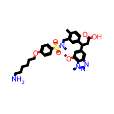 COc1cc(C(CC(=O)O)c2ccc(C)c(CN(C)S(=O)(=O)c3ccc(OCCCCCCN)cc3)c2)cc2nnn(C)c12